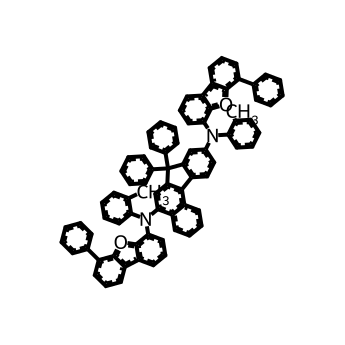 Cc1ccccc1N(c1ccc2c(c1)C(c1ccccc1)(c1ccccc1)c1cc(N(c3ccccc3C)c3cccc4c3oc3c(-c5ccccc5)cccc34)c3ccccc3c1-2)c1cccc2c1oc1c(-c3ccccc3)cccc12